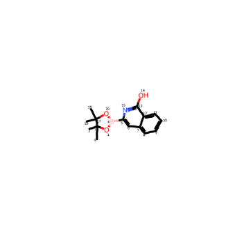 CC1(C)OB(c2cc3ccccc3c(O)n2)OC1(C)C